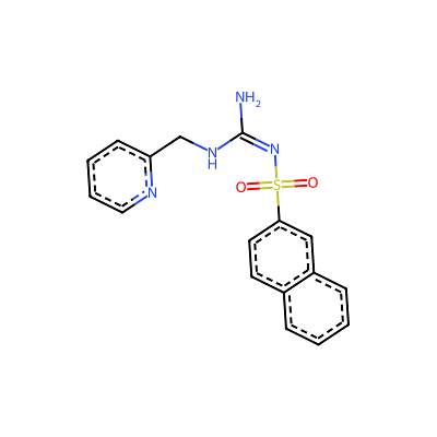 N/C(=N/S(=O)(=O)c1ccc2ccccc2c1)NCc1ccccn1